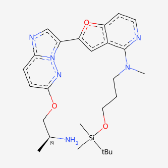 C[C@H](N)COc1ccc2ncc(-c3cc4c(N(C)CCCO[Si](C)(C)C(C)(C)C)nccc4o3)n2n1